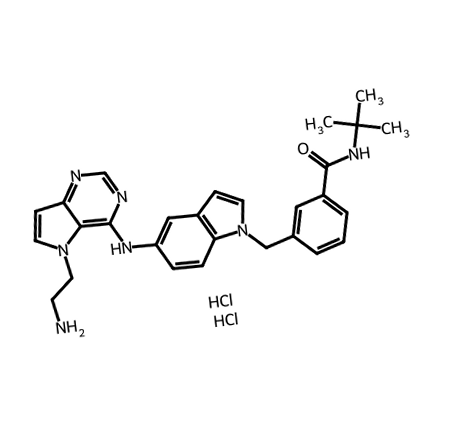 CC(C)(C)NC(=O)c1cccc(Cn2ccc3cc(Nc4ncnc5ccn(CCN)c45)ccc32)c1.Cl.Cl